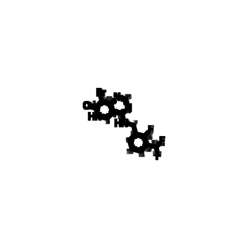 O=c1[nH]cc2c(NCc3cccc(C(F)F)c3F)ncnc2c1Br